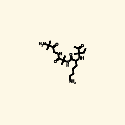 CCC(C)(NC(CCCCN)C(=O)NC(C)(C)C(=O)NCC(=O)C(C)(C)N)C(C)=O